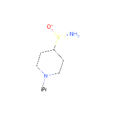 CC(C)N1CCC([S+](N)[O-])CC1